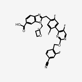 N#Cc1ccc(COc2ncc(F)c(-c3cc(F)c(Cc4nc5ccc(C(=O)O)cc5n4C[C@@H]4CCO4)cc3F)n2)c(F)c1